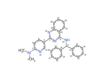 CN(C)c1ccc(-c2nc(NC(c3ccccc3)c3ccccc3)c3ccccc3n2)cn1